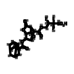 O=C1OC2C(OC(=O)C34CC5CC(CC(C5)C3)C4)C3OC2C1C3C(=O)OCC(F)C(F)(F)S(=O)(=O)O